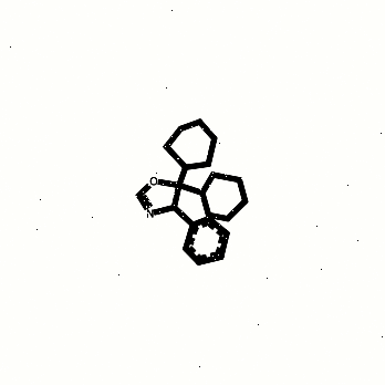 C1=NC(c2ccccc2)C(C2CCCCC2)(C2CCCCC2)O1